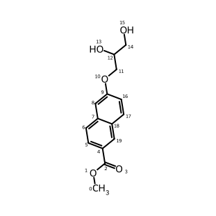 COC(=O)c1ccc2cc(OCC(O)CO)ccc2c1